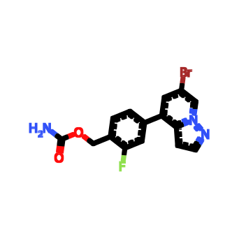 NC(=O)OCc1ccc(-c2cc(Br)cn3nccc23)cc1F